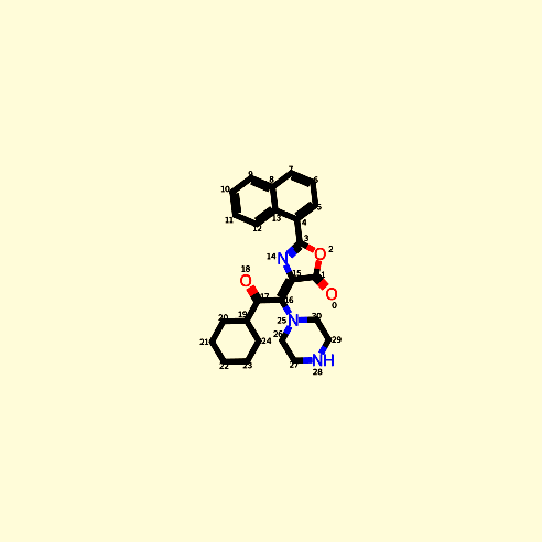 O=C1OC(c2cccc3ccccc23)=NC1=C(C(=O)C1CCCCC1)N1CCNCC1